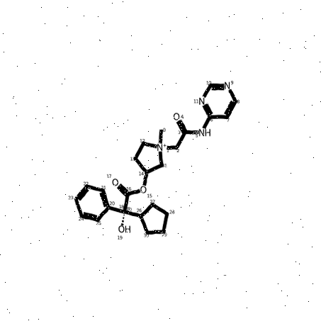 C[N+]1(CC(=O)Nc2ccncn2)CCC(OC(=O)[C@](O)(c2ccccc2)C2CCCC2)C1